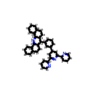 c1ccc(-c2cc(-c3cccc(-c4c5ccc6ccccc6c5nc5c4ccc4ccccc45)c3)cc(-c3ccccn3)n2)nc1